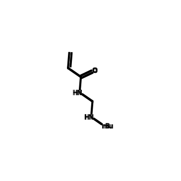 C=CC(=O)NCNCCCC